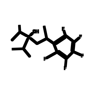 CC(C[Si](O)(C(C)C)C(C)C)c1c(F)c(F)c(F)c(F)c1F